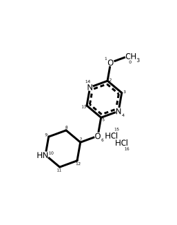 COc1cnc(OC2CCNCC2)cn1.Cl.Cl